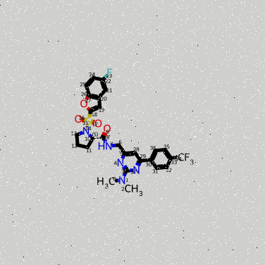 CN(C)c1nc(CNC(=O)[C@@H]2CCCN2S(=O)(=O)c2cc3cc(F)ccc3o2)cc(-c2ccc(C(F)(F)F)cc2)n1